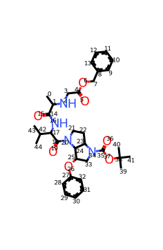 CC(NCC(=O)OCc1ccccc1)C(=O)NC(C(=O)N1CCC2C1C(Oc1ccccc1)CN2C(=O)OC(C)(C)C)C(C)C